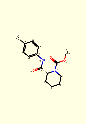 CC(C)(C)OC(=O)N1CCCC[C@@H]1C(=O)Nc1ccc(C#N)cc1